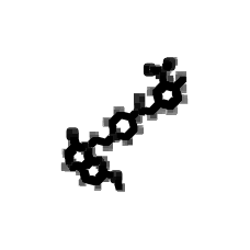 COc1ccc2ncc(=O)n(CCN3CCC(NCc4ccc(C)c([N+](=O)[O-])c4)CC3)c2n1